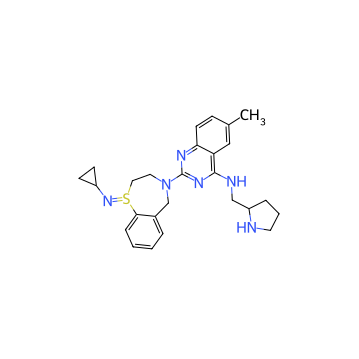 Cc1ccc2nc(N3CCS(=NC4CC4)c4ccccc4C3)nc(NCC3CCCN3)c2c1